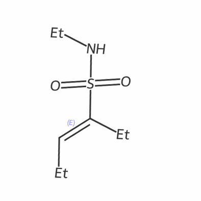 CC/C=C(\CC)S(=O)(=O)NCC